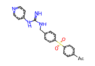 CC(=O)c1ccc(S(=O)(=O)c2ccc(CNC(=N)Nc3ccncc3)cc2)cc1